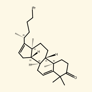 CC(C)CCC[C@@H](C)C1=CC[C@H]2[C@@H]3CC=C4C(C)(C)C(=O)CC[C@]4(C)[C@H]3CC[C@]12C